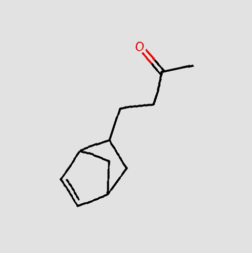 CC(=O)CCC1CC2C=CC1C2